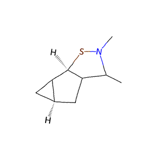 CC1C2C[C@H]3CC3[C@H]2SN1C